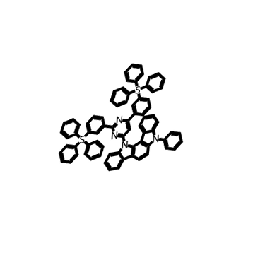 c1ccc(-n2c3ccccc3c3c2ccc2c4ccccc4n(-c4cc(-c5cccc(S(c6ccccc6)(c6ccccc6)c6ccccc6)c5)nc(-c5cccc(S(c6ccccc6)(c6ccccc6)c6ccccc6)c5)n4)c23)cc1